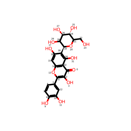 O=c1c(O)c(-c2ccc(O)c(O)c2)oc2cc(O)c([C@@H]3OC(CO)[C@@H](O)[C@H](O)C3O)c(O)c12